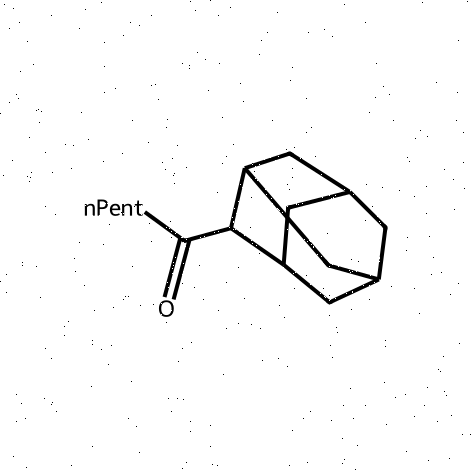 CCCCCC(=O)C1C2CC3CC(C2)CC1C3